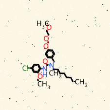 CCCCCCCC(C)N(Cc1ccc(OCOCCOC)cc1)C(=O)Nc1ccc(Cl)cc1OCC